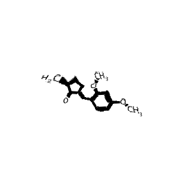 C=C1CCC(=Cc2ccc(OC)cc2OC)C1=O